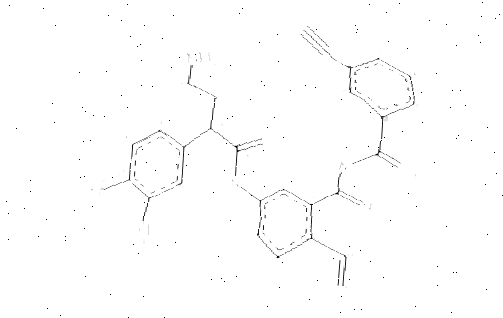 C#Cc1cccc(C(=O)NC(=N)c2cc(NC(=O)C(CCN)c3ccc(Cl)c(Cl)c3)ccc2C=C)c1